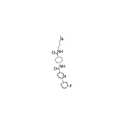 CN(C)CCCNC(=O)[C@H]1CC[C@H](NC(=O)c2ccc(-c3cccc(F)c3)nc2)CC1